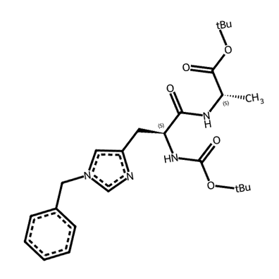 C[C@H](NC(=O)[C@H](Cc1cn(Cc2ccccc2)cn1)NC(=O)OC(C)(C)C)C(=O)OC(C)(C)C